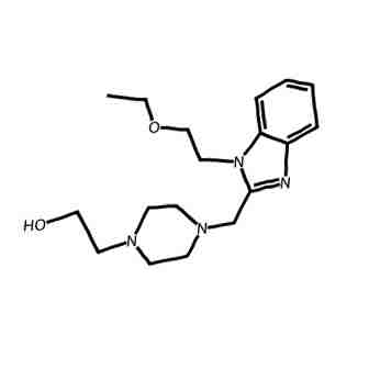 CCOCCn1c(CN2CCN(CCO)CC2)nc2ccccc21